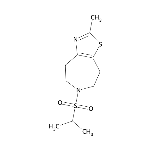 Cc1nc2c(s1)CCN(S(=O)(=O)C(C)C)CC2